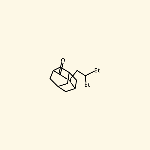 CCC(CC)CN1C(=O)C2CC3CC(C2)CC1C3